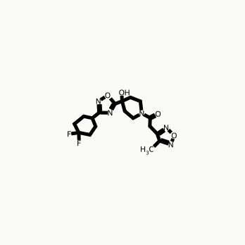 Cc1nonc1CC(=O)N1CCC(O)(c2nc(C3CCC(F)(F)CC3)no2)CC1